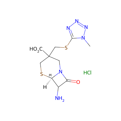 Cl.Cn1nnnc1SCC1(C(=O)O)CS[C@@H]2C(N)C(=O)N2C1